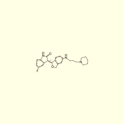 O=C1Nc2ccc(F)cc2/C1=C1\OCc2cc(NCCCN3CCCCC3)ccc21